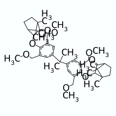 COCc1cc(C(C)(C)c2cc(COC)c(OC3C(=O)C4CCC3(C)C4(C)C)c(COC)c2)cc(COC)c1OC1C(=O)C2(C)CCC1C2(C)C